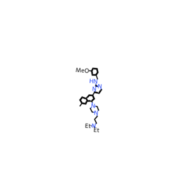 CCN(CC)CCCN1CCN(c2cc(-c3ccnc(NCc4cccc(OC)c4)n3)cc3ccc(C)cc23)CC1